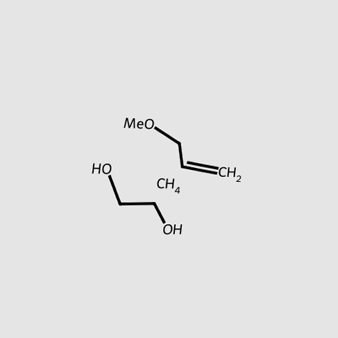 C.C=CCOC.OCCO